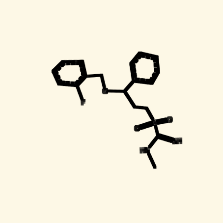 CNC(=N)S(=O)(=O)CCC(OCc1ccccc1F)c1ccccc1